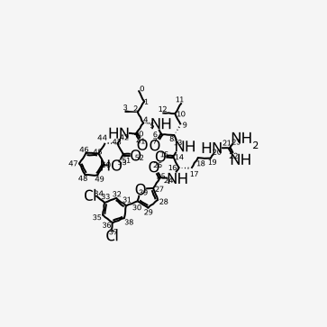 CC[C@H](C)[C@H](NC(=O)[C@H](CC(C)C)NC(=O)[C@H](CCCNC(=N)N)NC(=O)c1ccc(-c2cc(Cl)cc(Cl)c2)o1)C(=O)N[C@@H](Cc1ccccc1)C(=O)O